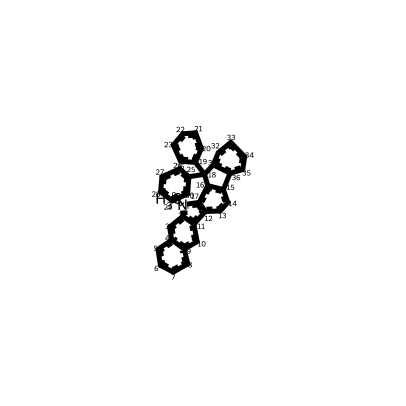 Cn1c2cc3ccccc3cc2c2ccc3c(c21)C(c1ccccc1)(c1ccccc1)c1ccccc1-3